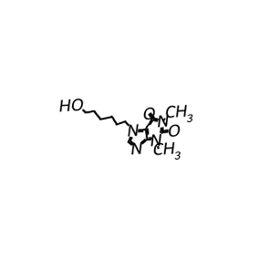 Cn1c(=O)c2c(ncn2CCCCCCO)n(C)c1=O